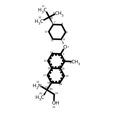 Cc1c(O[C@H]2CC[C@H](C(C)(C)C)CC2)ccc2cc([C@@](C)(N)CO)ccc12